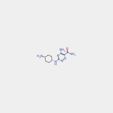 NC(=O)c1nnc(N[C@H]2CC[C@H](N)CC2)nc1N